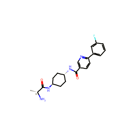 C[C@@H](N)C(=O)N[C@H]1CC[C@H](NC(=O)c2ccc(-c3cccc(F)c3)nc2)CC1